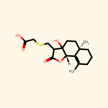 CC1=C2[C@@H]3OC(=O)C(CSCC(=O)O)C3(O)CC[C@@]2(C)CCC1